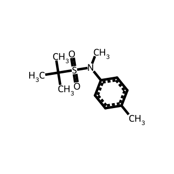 Cc1ccc(N(C)S(=O)(=O)C(C)(C)C)cc1